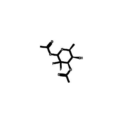 CC(=O)OC1O[C@@H](C)[C@@H](O)[C@@H](OC(C)=O)C1(F)F